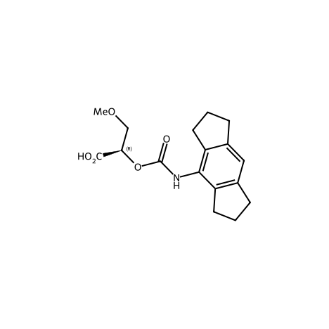 COC[C@@H](OC(=O)Nc1c2c(cc3c1CCC3)CCC2)C(=O)O